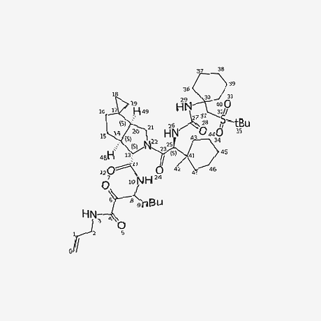 C=CCNC(=O)C(=O)C(CCCC)NC(=O)[C@@H]1[C@H]2CCC3(CC3)[C@H]2CN1C(=O)[C@@H](NC(=O)NC1(CS(=O)(=O)C(C)(C)C)CCCCC1)C1(C)CCCCC1